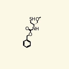 COC[C@@H](CS)NC(=O)OCc1ccccc1